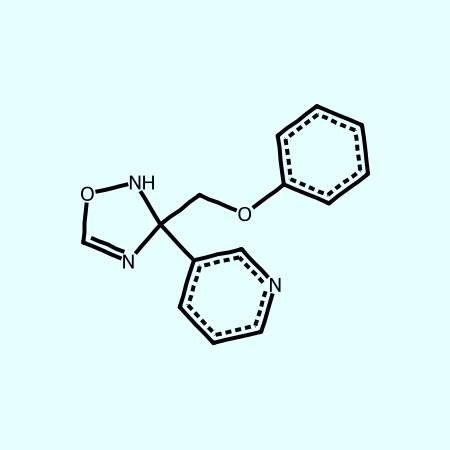 C1=NC(COc2ccccc2)(c2cccnc2)NO1